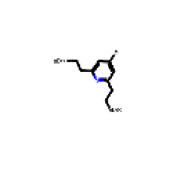 [CH2]Cc1cc(CCCCCCCCCCCC)nc(CCCCCCCCCCCC)c1